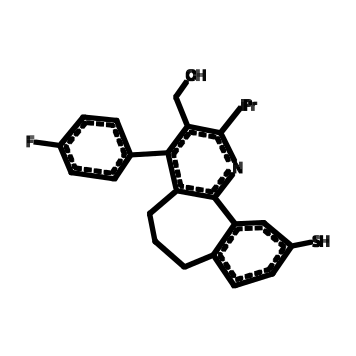 CC(C)c1nc2c(c(-c3ccc(F)cc3)c1CO)CCCc1ccc(S)cc1-2